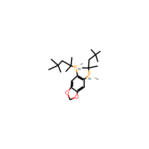 C[P@](c1cc2c(cc1[P@@](C)C(C)(C)CC(C)(C)C)OCO2)C(C)(C)CC(C)(C)C